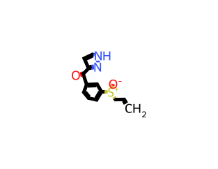 C=CC[S+]([O-])c1cccc(C(=O)c2cc[nH]n2)c1